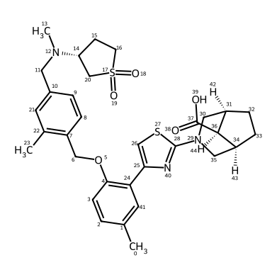 Cc1ccc(OCc2ccc(CN(C)[C@@H]3CCS(=O)(=O)C3)cc2C)c(-c2csc(N3C[C@H]4CC[C@@H](C3)[C@H]4C(=O)O)n2)c1